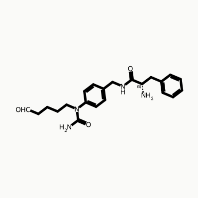 NC(=O)N(CCCCC=O)c1ccc(CNC(=O)[C@@H](N)Cc2ccccc2)cc1